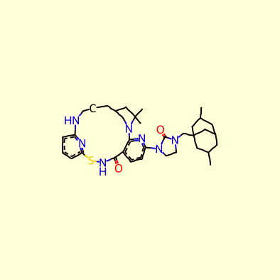 CC1CC2CC(C)CC(CN3CCN(c4ccc5c(n4)N4CC(CCCNc6cccc(n6)SNC5=O)CC4(C)C)C3=O)(C1)C2